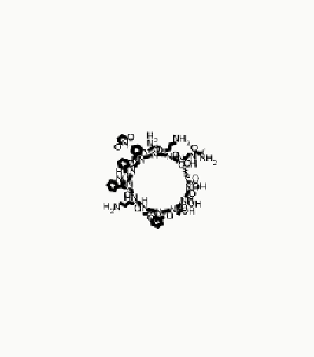 CC(O)[C@@H]1NC(=O)[C@H](Cc2ccccc2)NC(=O)[C@H](C(C)O)NC(=O)[C@H](CCCCN)NC(=O)[C@H](Cc2c[nH]c3ccccc23)NC(=O)[C@H](Cc2ccccc2)NC(=O)[C@H](Cc2ccccc2)NC(=O)[C@H](CC(N)=O)NC(=O)[C@H](CCCCN)NC(=O)[C@@H](NC(=O)CNC(=O)[C@H](C)N)CSSC[C@@H](C(=O)O)NC(=O)[C@H](CO)NC1=O.CN1C(=O)C=CC1=O